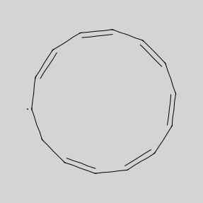 [CH]1C=CC=CC=CC=CC=CC=CC1